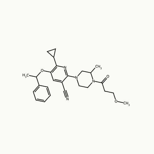 COCCC(=O)N1CCN(c2nc(C3CC3)c(OC(C)c3ccccc3)cc2C#N)CC1C